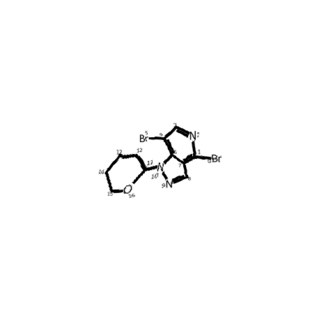 Brc1ncc(Br)c2c1cnn2C1CCCCO1